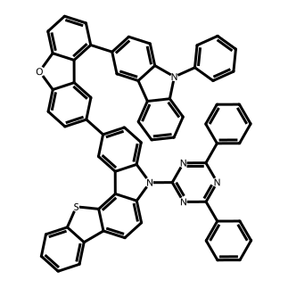 c1ccc(-c2nc(-c3ccccc3)nc(-n3c4ccc(-c5ccc6oc7cccc(-c8ccc9c(c8)c8ccccc8n9-c8ccccc8)c7c6c5)cc4c4c5sc6ccccc6c5ccc43)n2)cc1